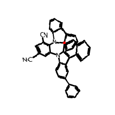 N#Cc1cc(C#N)c(-n2c3ccccc3c3ccccc32)c(-n2c3ccc(-c4ccccc4)cc3c3c4ccccc4ccc32)c1